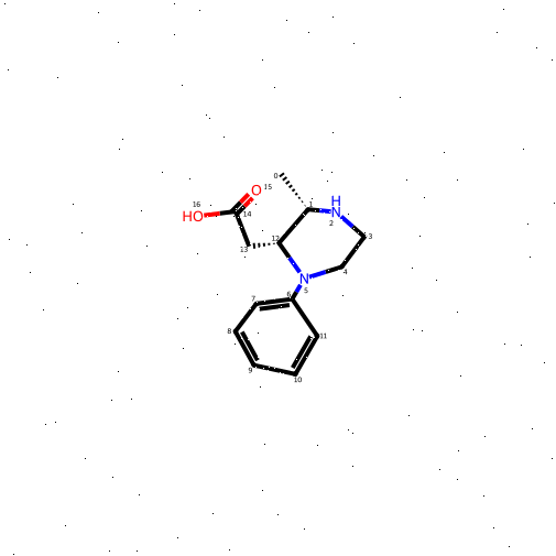 C[C@@H]1NCCN(c2ccccc2)[C@@H]1CC(=O)O